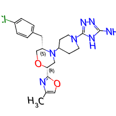 Cc1coc([C@H]2CN(C3CCN(c4nnc(N)[nH]4)CC3)[C@@H](Cc3ccc(Cl)cc3)CO2)n1